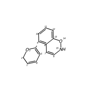 C1=CCOC=C1.C1=Cc2ccccc2ON1